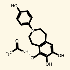 NC(=O)C(F)(F)F.Oc1ccc(N2CCc3cc(O)c(O)c(Cl)c3CC2)cc1